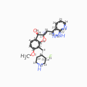 COc1ccc2c(c1C[C@H]1CCNC[C@H]1F)O/C(=C\c1n[nH]c3ncccc13)C2=O